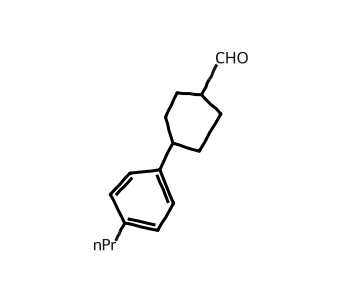 CCCc1ccc(C2CCC(C=O)CC2)cc1